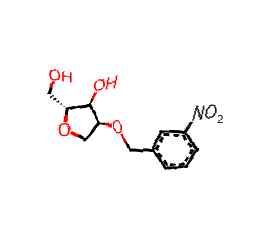 O=[N+]([O-])c1cccc(CO[C@H]2CO[C@H](CO)[C@H]2O)c1